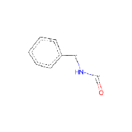 O=[C]N[CH]c1ccccc1